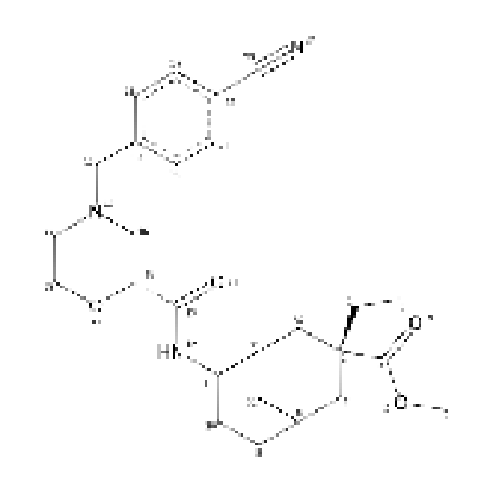 CC[C@@]1(C(=O)OC)CC2CCC(NC(=O)[C@H]3CN(Cc4ccc(C#N)cc4)CCO3)C(C2)C1